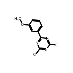 COc1cccc(-c2nc(Cl)nc(Cl)n2)c1